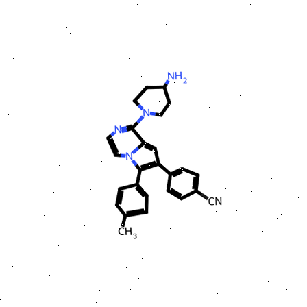 Cc1ccc(-c2c(-c3ccc(C#N)cc3)cc3c(N4CCC(N)CC4)nccn23)cc1